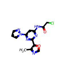 Cc1ncoc1-c1nc(NC(=O)CCl)cc(-n2cccn2)n1